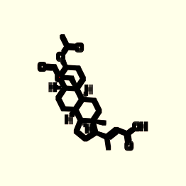 CC(=O)O[C@H]1CC[C@@]2(COC=O)[C@@H](CC[C@H]3[C@@H]4CC[C@H](C(C)=CC(=O)O)[C@@]4(C)CC[C@@H]32)C1